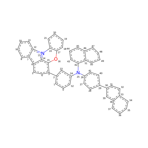 c1cc(-c2ccc3c4ccccc4n4c3c2Oc2ccccc2-4)cc(N(c2ccc(-c3ccc4ccccc4c3)cc2)c2cccc3ccccc23)c1